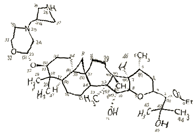 CCO[C@@H](C1C[C@@H](C)[C@H]2C(O1)[C@H](O)[C@@]1(C)C3CC[C@H]4C(C)(C)[C@@H](O[C@H]5CN(C6CNC6)CCO5)CC[C@@]45C[C@@]35CC[C@]21C)C(C)(C)O